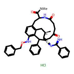 CNC(=O)C1Cc2ccc(NOCc3ccccc3)c(c2C[C@@H](C)C=C=NC(=N)c2ccccc2)C(c2ccccc2)CCC(=O)CCC(=O)N1.Cl